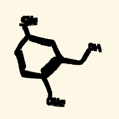 COc1ccc(SC)cc1CO